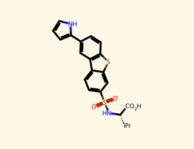 CC(C)[C@H](NS(=O)(=O)c1ccc2c(c1)sc1ccc(-c3ccc[nH]3)cc12)C(=O)O